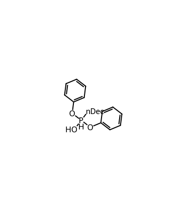 CCCCCCCCCC[PH](O)(Oc1ccccc1)Oc1ccccc1